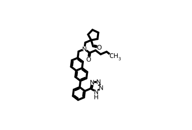 CCCCC(=O)N(Cc1ccc2cc(-c3ccccc3-c3nnn[nH]3)ccc2c1)CC1(C=O)CCCC1